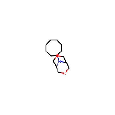 C1CCCC(N2C3COCC2COC3)CCC1